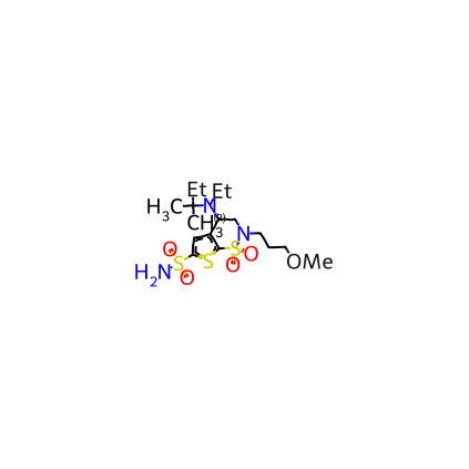 CCN([C@H]1CN(CCCOC)S(=O)(=O)c2sc(S(N)(=O)=O)cc21)C(C)(C)CC